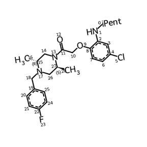 CCCC(C)Nc1cc(Cl)ccc1OCC(=O)N1C[C@@H](C)N(Cc2ccc(F)cc2)C[C@@H]1C